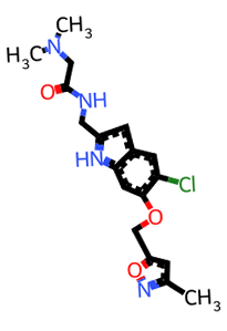 Cc1cc(COc2cc3[nH]c(CNC(=O)CN(C)C)cc3cc2Cl)on1